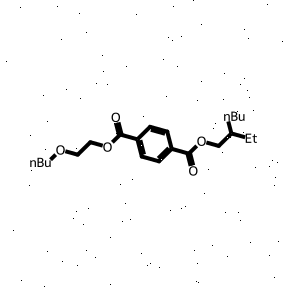 CCCCOCCOC(=O)c1ccc(C(=O)OCC(CC)CCCC)cc1